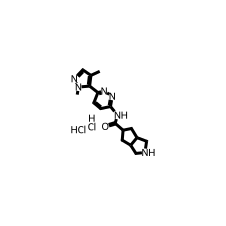 Cc1cnn(C)c1-c1ccc(NC(=O)C2CC3CNCC3C2)nn1.Cl.Cl